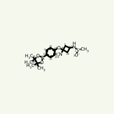 C[S+]([O-])NC1CC(N)(Oc2ccc(B3OC(C)(C)C(C)(C)O3)cc2)C1